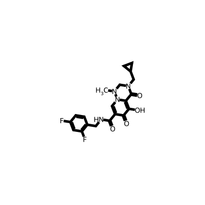 CN1CN(CC2CC2)C(=O)c2c(O)c(=O)c(C(=O)NCc3ccc(F)cc3F)cn21